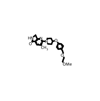 COCCOCc1ccc(OC2CCN(c3nc4c(cc3C)C(=O)NC4)CC2)cc1